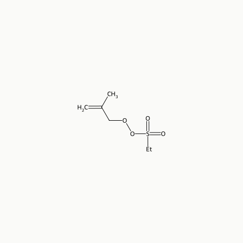 C=C(C)COOS(=O)(=O)CC